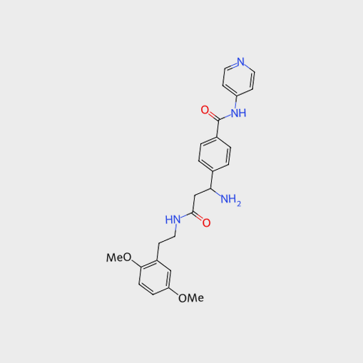 COc1ccc(OC)c(CCNC(=O)CC(N)c2ccc(C(=O)Nc3ccncc3)cc2)c1